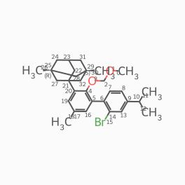 COCOc1c(-c2ccc(C(C)C)cc2Br)cc(C)cc1C12CC3C[C@@](C)(C1)C[C@](C)(C3)C2